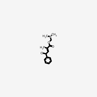 CN(C)COC(=O)C(P)=CC(Cl)c1ccccc1